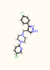 Fc1ccc(-c2n[nH]cc2CN2CCN(c3ccc(Cl)cn3)CC2)cc1